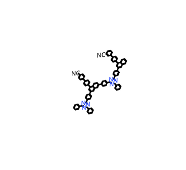 N#Cc1ccc(-c2ccc(-c3cc(-c4ccc(-c5nc(-c6ccccc6)nc(-c6ccccc6)n5)cc4)cc4cc(-c5ccc(-c6nc(-c7ccccc7)nc(-c7ccc(-c8cc(-c9ccc(-c%10cccc(C#N)c%10)cc9)c9ccccc9c8)cc7)n6)cc5)ccc34)cc2)cc1